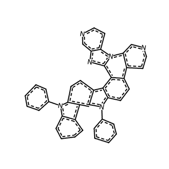 c1ccc(-n2c3ccccc3c3c2ccc2c4c5c(ccc4n(-c4ccccc4)c23)c2ccncc2n2c3ccncc3nc52)cc1